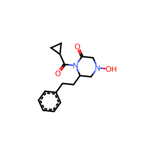 O=C1CN(O)CC(CCc2ccccc2)N1C(=O)C1CC1